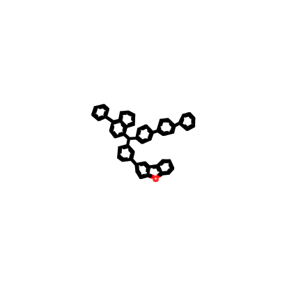 c1ccc(-c2ccc(-c3ccc(C(c4cccc(-c5ccc6oc7ccccc7c6c5)c4)c4ccc(-c5ccccc5)c5ccccc45)cc3)cc2)cc1